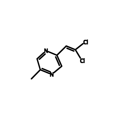 Cc1cnc(C=C(Cl)Cl)cn1